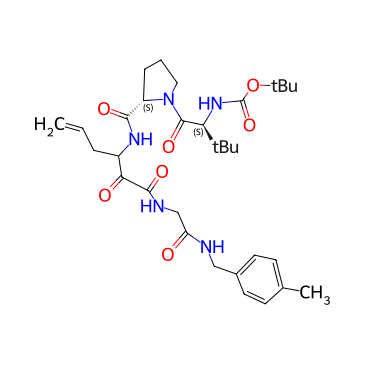 C=CCC(NC(=O)[C@@H]1CCCN1C(=O)[C@@H](NC(=O)OC(C)(C)C)C(C)(C)C)C(=O)C(=O)NCC(=O)NCc1ccc(C)cc1